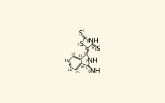 N=C1NC(=C2SC(=S)NC2=S)c2ccccc21